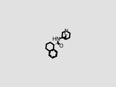 O=C(NC1CN2CCC1CC2)[C@H]1CCCc2ccccc21